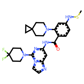 CSNc1ccc(C(=O)Nc2cc3nccn3c(N3CCC(F)(F)CC3)n2)c(N2CCC3(CC2)CC3)c1